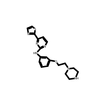 c1cc(Nc2nccc(-c3nccs3)n2)cc(OCCN2CCNCC2)c1